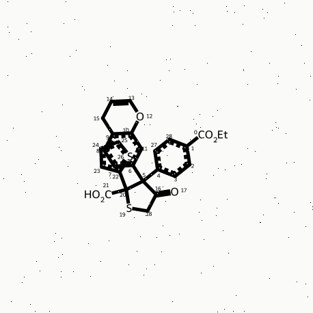 CCOC(=O)c1ccc(C2(c3ccc4c(c3)OC=CC4)C(=O)CSC2(C(=O)O)c2cccs2)cc1